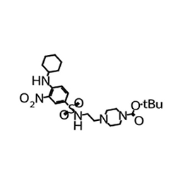 CC(C)(C)OC(=O)N1CCN(CCNS(=O)(=O)c2ccc(NC3CCCCC3)c([N+](=O)[O-])c2)CC1